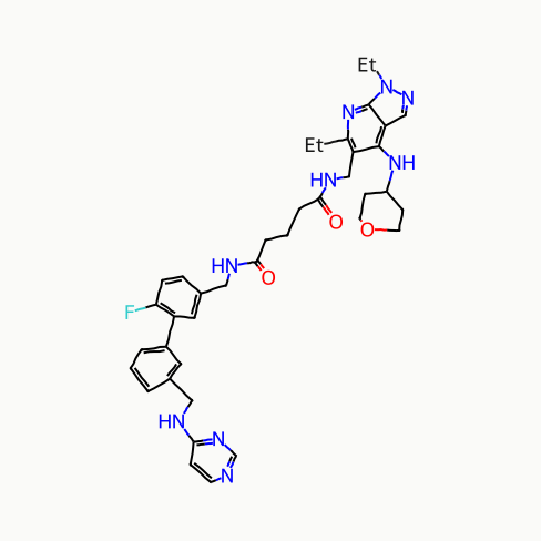 CCc1nc2c(cnn2CC)c(NC2CCOCC2)c1CNC(=O)CCCC(=O)NCc1ccc(F)c(-c2cccc(CNc3ccncn3)c2)c1